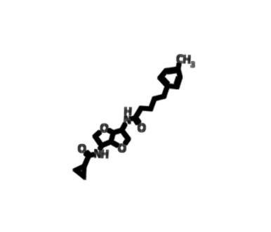 Cc1ccc(CCCCC(=O)NC2COC3C(NC(=O)C4CC4)COC23)cc1